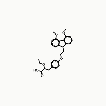 CCOC(Cc1ccc(OCCC2c3cccc(OC)c3-c3c(OC)cccc32)cc1)C(=O)O